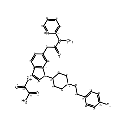 CN(C(=O)Cc1ccc2ccn(C3CCN(CCc4ccc(F)cc4)CC3)c2c1)c1ccccn1.O=C(O)C(=O)O